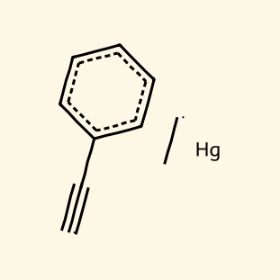 [CH2]C.[C]#Cc1ccccc1.[Hg]